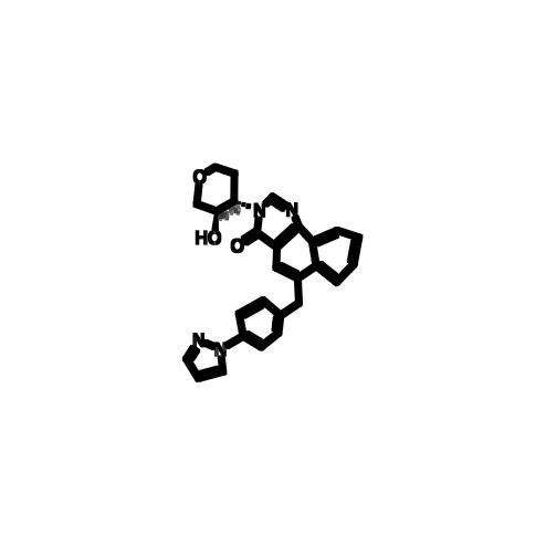 O=c1c2cc(Cc3ccc(-n4cccn4)cc3)c3ccccc3c2ncn1[C@H]1CCOC[C@@H]1O